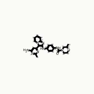 Cc1nc(N)cc(-c2c(Nc3ccc(NC(=O)N4CCOC(C)C4)cc3)nc3ccccn23)n1